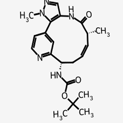 C[C@@H]1C=CC[C@H](NC(=O)OC(C)(C)C)c2cc(ccn2)-c2c(cnn2C)NC1=O